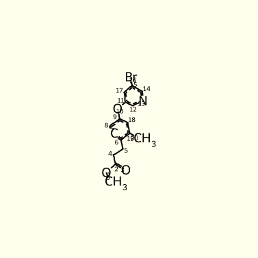 COC(=O)CCc1ccc(Oc2cncc(Br)c2)cc1C